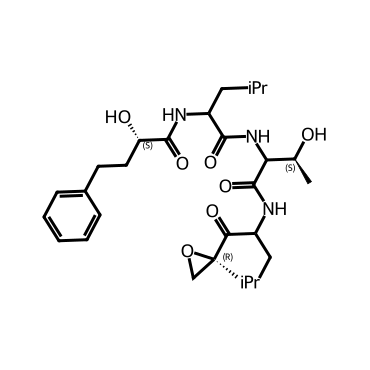 CC(C)CC(NC(=O)[C@@H](O)CCc1ccccc1)C(=O)NC(C(=O)NC(CC(C)C)C(=O)[C@@]1(C)CO1)[C@H](C)O